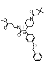 COC(=O)CCNC(=O)[C@H](c1ccc(OCc2ccccc2)cc1)C1CCN(C(=O)CC(C)(C)C)CC1